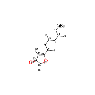 CCC(C)CC(C)CC(C)CC(C)C1=C(C)C(=O)C(C)O1